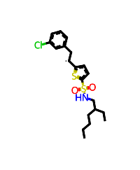 CCCCC(CC)CNS(=O)(=O)c1ccc([CH]Cc2cccc(Cl)c2)s1